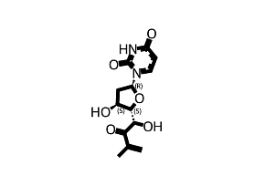 C=C(C)C(=O)C(O)[C@H]1O[C@@H](n2ccc(=O)[nH]c2=O)C[C@@H]1O